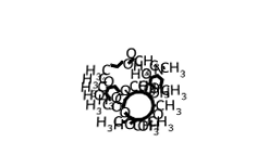 CCCCOC(C)=O.CC[C@H]1OC(=O)[C@H](C)[C@@H](O[C@H]2C[C@@](C)(OC)[C@@H](O)[C@H](C)O2)[C@@H](C)[C@@H](O[C@@H]2O[C@H](C)C[C@H](N(C)C)[C@H]2O)[C@](C)(O)C[C@@H](C)C(=O)[C@H](C)[C@H](O)[C@]1(C)O